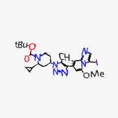 COc1cc(-c2nnn([C@@H]3CCN(C(=O)OC(C)(C)C)[C@H](C4CC4)C3)c2C)cc2ncc(I)n12